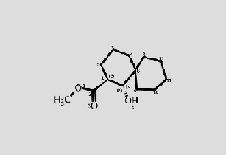 COC(=O)[C@H]1CCCC2(CCCCC2)[C@@H]1O